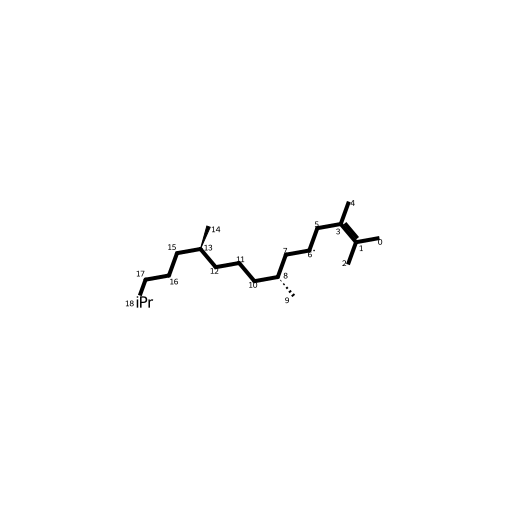 CC(C)=C(C)C[CH]C[C@H](C)CCC[C@H](C)CCCC(C)C